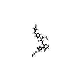 [N-]=[N+]=NCn1cc(-c2c(F)cncc2/C=C/C(=O)N(N)c2ccc(CN3CC(F)C3)cc2)cn1